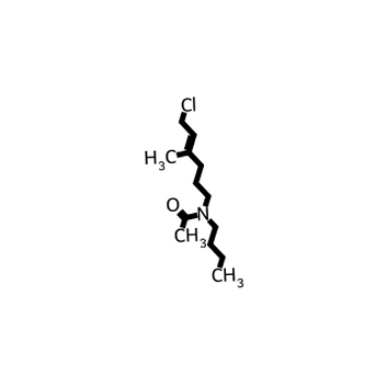 CCCCN(CCC/C(C)=C/CCl)C(C)=O